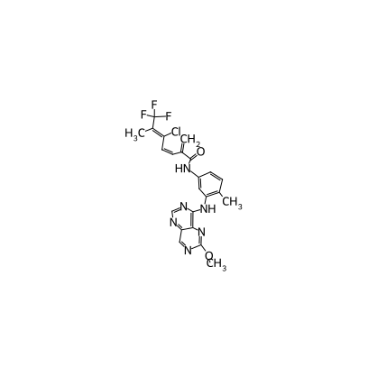 C=C(/C=C\C(Cl)=C(/C)C(F)(F)F)C(=O)Nc1ccc(C)c(Nc2ncnc3cnc(OC)nc23)c1